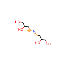 OCC(O)CP=NPCC(O)CO